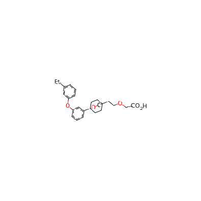 CCc1cccc(Oc2cccc(C34CCC(CCOCC(=O)O)(CC3)CO4)c2)c1